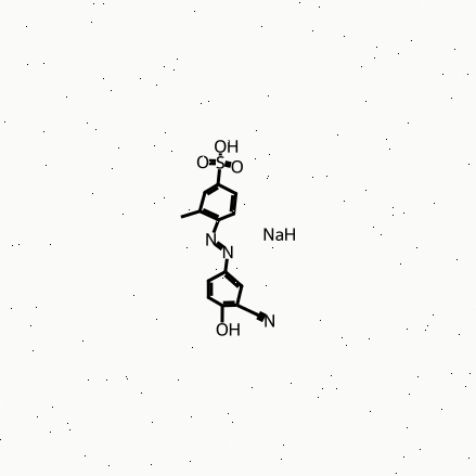 Cc1cc(S(=O)(=O)O)ccc1N=Nc1ccc(O)c(C#N)c1.[NaH]